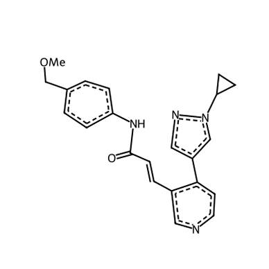 COCc1ccc(NC(=O)C=Cc2cnccc2-c2cnn(C3CC3)c2)cc1